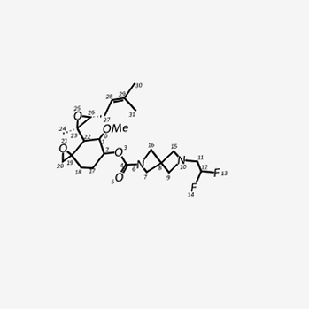 COC1C(OC(=O)N2CC3(CN(CC(F)F)C3)C2)CCC2(CO2)C1[C@@]1(C)O[C@@H]1CC=C(C)C